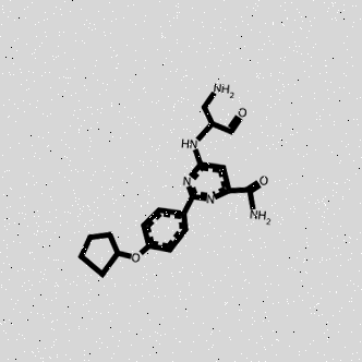 NCC(C=O)Nc1cc(C(N)=O)nc(-c2ccc(OC3CCCC3)cc2)n1